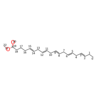 CC/C=C/C/C=C/C/C=C/C/C=C/C/C=C/CCCC(=O)OC